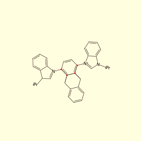 CC(C)C1C=[N+](CC2C3c4ccccc4C(c4ccccc43)C2C[n+]2cn(C(C)C)c3ccccc32)c2ccccc21